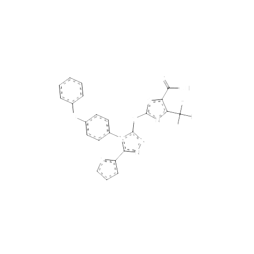 O=C(O)c1sc(Sc2nnc(-c3cccs3)n2-c2ccc(Oc3ccccc3)cc2)nc1C(F)(F)F